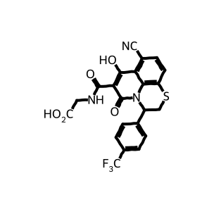 N#Cc1ccc2c3c1c(O)c(C(=O)NCC(=O)O)c(=O)n3C(c1ccc(C(F)(F)F)cc1)CS2